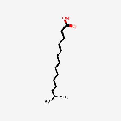 CC(C)CCCCCCCC=CCCC(=O)O